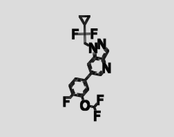 Fc1ccc(-c2cnc3cnn(CC(F)(F)C4CC4)c3c2)cc1OC(F)F